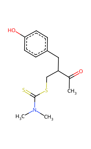 CC(=O)C(CSC(=S)N(C)C)Cc1ccc(O)cc1